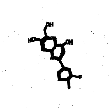 Cc1ccc(-c2cc(O)c3cc(CO)c(O)cc3n2)cc1F